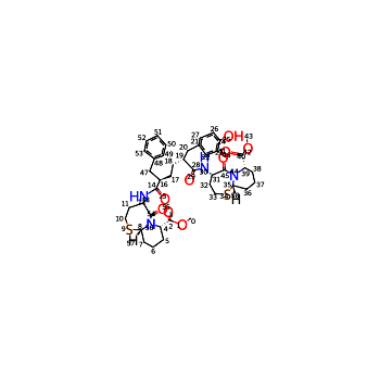 COC(=O)[C@@H]1CCC[C@@H]2SCC[C@H](NC(=O)[C@H](CC[C@H](Cc3ccc(O)cc3)C(=O)N[C@H]3CCS[C@H]4CCC[C@@H](C(=O)OC)N4C3=O)Cc3ccccc3)C(=O)N21